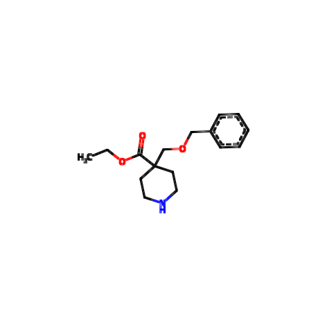 CCOC(=O)C1(COCc2ccccc2)CCNCC1